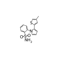 Cc1csc(-c2cccn2-c2ccccc2S(N)(=O)=O)c1